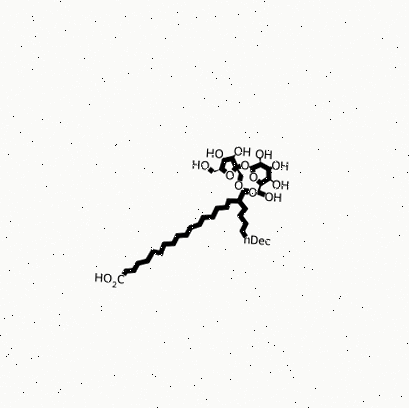 CCCCCCCCCCCCCCC(CCCCCCCCCCCCCCCCCC(=O)O)C(=O)OC[C@@]1(O[C@H]2O[C@H](CO)[C@@H](O)[C@H](O)[C@H]2O)O[C@H](CO)[C@@H](O)[C@@H]1O